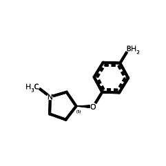 Bc1ccc(O[C@H]2CCN(C)C2)cc1